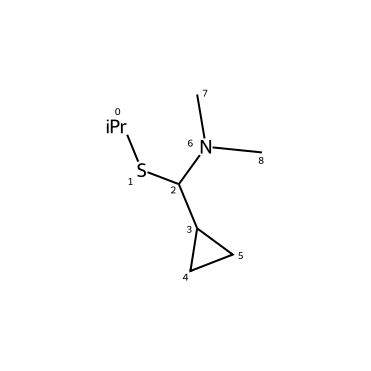 CC(C)SC(C1CC1)N(C)C